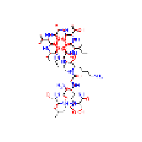 CC[C@H](C)[C@H](NC(=O)[C@H](CCCCN)NC(=O)CNC(=O)[C@H](CC(C)C)NC(=O)[C@H](CO)NC(=O)[C@H](CC(C)C)NC(=O)[C@H](CO)NC(=O)[C@@H](N)CC(C)C)C(=O)N[C@H](C(=O)N[C@H](C(=O)N[C@@H](C)C(=O)N[C@H](C(=O)N[C@H](C(=O)N[C@H](C(=O)N[C@@H](C)C(=O)N[C@H](C(=O)N[C@@H](C)C(=O)N[C@H](C(=O)N[C@@H](C)C(=O)N[C@@H](C)C(=O)O)C(C)C)[C@@H](C)O)[C@@H](C)CC)C(C)C)C(C)C)C(C)C)[C@@H](C)CC